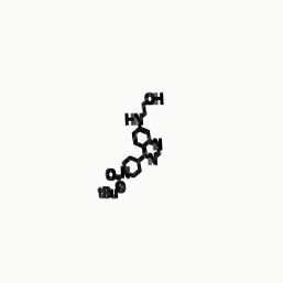 CC(C)(C)OC(=O)N1CCC(c2ncnc3cc(NCCO)ccc23)CC1